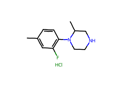 Cc1ccc(N2CCNCC2C)c(F)c1.Cl